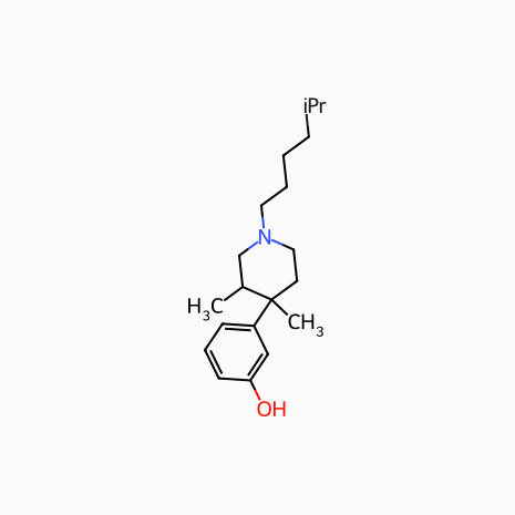 CC(C)CCCCN1CCC(C)(c2cccc(O)c2)C(C)C1